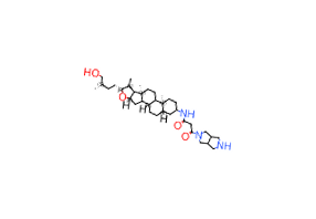 C[C@H](CO)CC[C@H]1O[C@H]2CC3[C@@H]4CC[C@@H]5CC(NC(=O)CC(=O)N6CC7CNCC7C6)CC[C@]5(C)C4CC[C@]3(C)C2[C@@H]1C